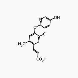 Cc1cc(Oc2ccc(O)cn2)c(Cl)cc1C=CC(=O)O